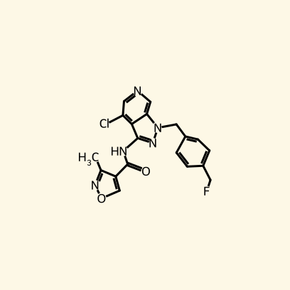 Cc1nocc1C(=O)Nc1nn(Cc2ccc(CF)cc2)c2cncc(Cl)c12